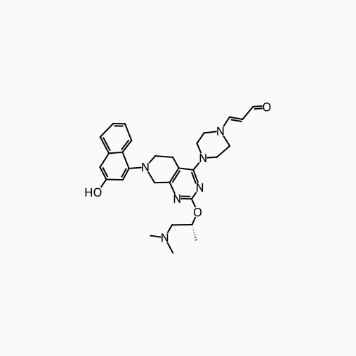 C[C@H](CN(C)C)Oc1nc2c(c(N3CCN(C=CC=O)CC3)n1)CCN(c1cc(O)cc3ccccc13)C2